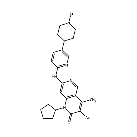 CCN1CCC(c2ccc(Nc3cc4c(cn3)c(C)c(C(C)=O)c(=O)n4C3CCCC3)nc2)CC1